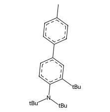 Cc1ccc(-c2ccc(N(C(C)(C)C)C(C)(C)C)c(C(C)(C)C)c2)cc1